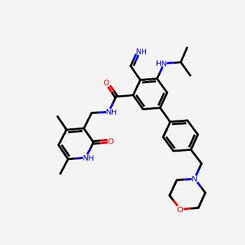 Cc1cc(C)c(CNC(=O)c2cc(-c3ccc(CN4CCOCC4)cc3)cc(NC(C)C)c2C=N)c(=O)[nH]1